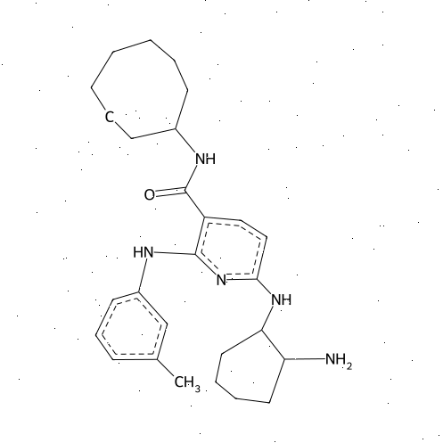 Cc1cccc(Nc2nc(NC3CCCCC3N)ccc2C(=O)NC2CCCCCCC2)c1